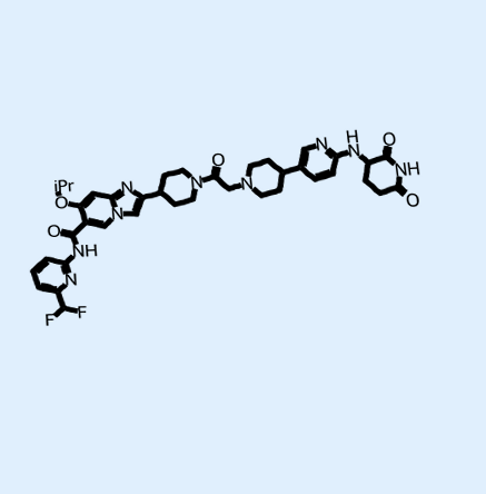 CC(C)Oc1cc2nc(C3CCN(C(=O)CN4CCC(c5ccc(NC6CCC(=O)NC6=O)nc5)CC4)CC3)cn2cc1C(=O)Nc1cccc(C(F)F)n1